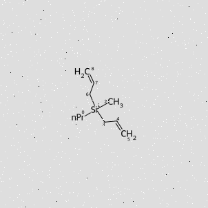 [CH2]CC[Si](C)(CC=C)CC=C